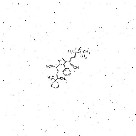 C#C/C(=C\C=C(/C)C(C)(C)C)c1nnc(/C(C#C)=C/C=C(\C)C2(C)C=CC=CC2)n1-c1ccccc1